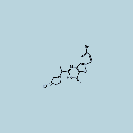 CC(c1nc2c(oc3ccc(Br)cc32)c(=O)[nH]1)N1CC[C@H](O)C1